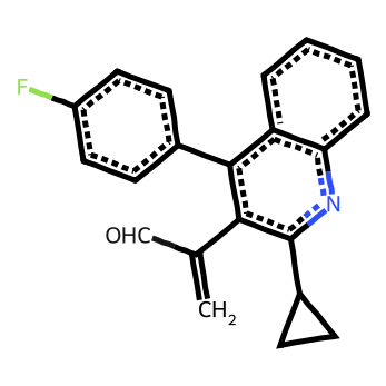 C=C(C=O)c1c(C2CC2)nc2ccccc2c1-c1ccc(F)cc1